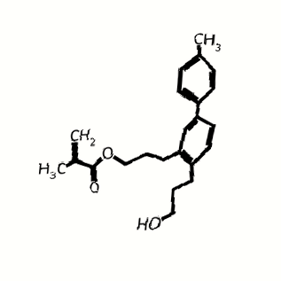 C=C(C)C(=O)OCCCc1cc(-c2ccc(C)cc2)ccc1CCCO